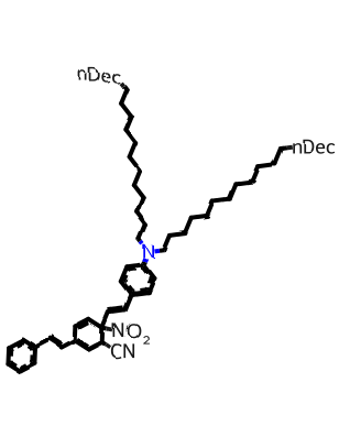 CCCCCCCCCCCCCCCCCCCCCCN(CCCCCCCCCCCCCCCCCCCCCC)c1ccc(C=CC2([N+](=O)[O-])C=CC(C=Cc3ccccc3)=CC2C#N)cc1